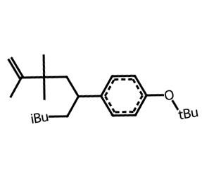 C=C(C)C(C)(C)CC(CC(C)CC)c1ccc(OC(C)(C)C)cc1